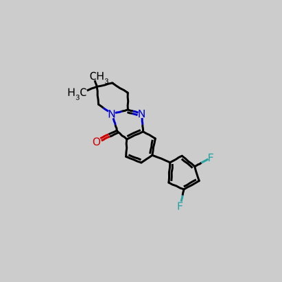 CC1(C)CCc2nc3cc(-c4cc(F)cc(F)c4)ccc3c(=O)n2C1